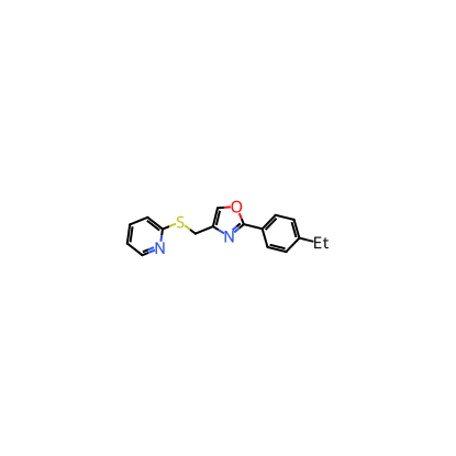 CCc1ccc(-c2nc(CSc3ccccn3)co2)cc1